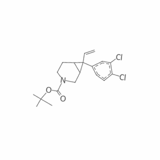 C=CC1(c2ccc(Cl)c(Cl)c2)C2CCN(C(=O)OC(C)(C)C)CC21